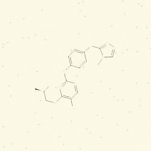 C[C@@H](O)[C@@H](C)Nc1nc(Nc2ccc(Sc3nncn3C)cc2)ncc1Br